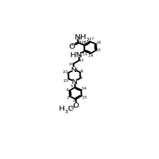 COc1ccc(N2CCN(CCNc3ccccc3C(N)=O)CC2)cc1